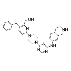 OCc1nc(N2CCN(c3ncnc(Nc4ccc5c(c4)CNCC5)n3)CC2)ncc1Cc1ccccc1